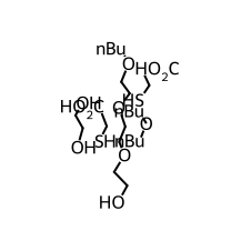 CCCCOCCCC.CCCCOCCOCCOCCO.O=C(O)CS.O=C(O)CS.OCCO